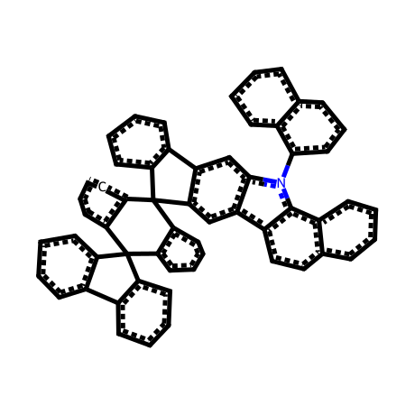 c1ccc2c(c1)-c1ccccc1C21c2ccccc2C2(c3ccccc3-c3cc4c(cc32)c2ccc3ccccc3c2n4-c2cccc3ccccc23)c2ccccc21